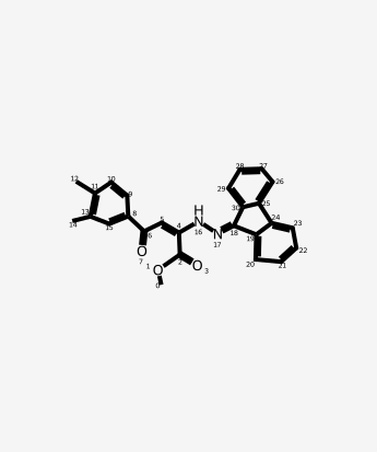 COC(=O)C(=CC(=O)c1ccc(C)c(C)c1)NN=C1c2ccccc2-c2ccccc21